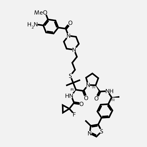 COc1cc(C(=O)N2CCN(CCCSC(C)(C)[C@H](NC(=O)C3(F)CC3)C(=O)N3CCC[C@H]3C(=O)N[C@@H](C)c3ccc(-c4scnc4C)cc3)CC2)ccc1N